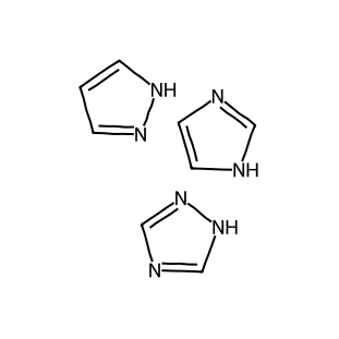 c1c[nH]cn1.c1cn[nH]c1.c1nc[nH]n1